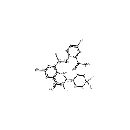 COC(=O)c1nc(Cl)ccc1N[C@H](C)c1cc(C#N)cc2c(=O)n(C)c(N3CCC(F)(F)CC3)nc12